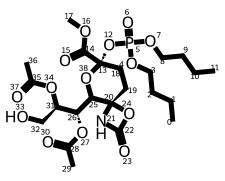 CCCCOP(=O)(OCCCC)O[C@]1(C(=O)OC)CC[C@@]2(NC(=O)O2)C([C@H](OC(C)=O)[C@@H](CO)OC(C)=O)O1